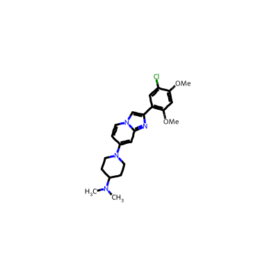 COc1cc(OC)c(-c2cn3ccc(N4CCC(N(C)C)CC4)cc3n2)cc1Cl